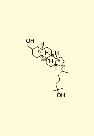 CC(CCCC(C)(C)O)[C@H]1CC[C@H]2[C@@H]3CC[C@H]4CC(CO)CC[C@]4(C)[C@H]3CC[C@]12C